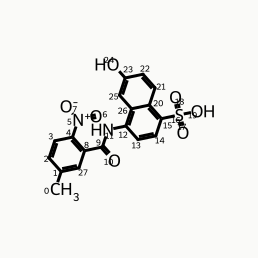 Cc1ccc([N+](=O)[O-])c(C(=O)Nc2ccc(S(=O)(=O)O)c3ccc(O)cc23)c1